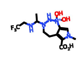 CC(NCC(F)(F)F)N1CCc2c(cn(C)c2C(=O)O)[N+](O)(O)N1